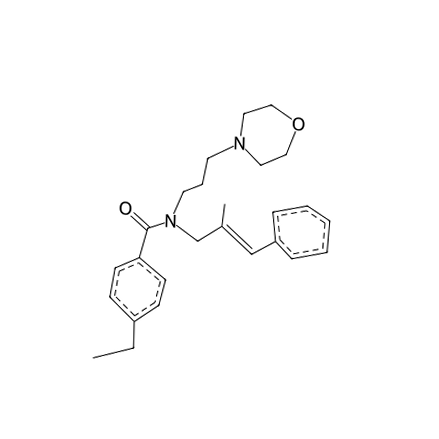 CCc1ccc(C(=O)N(CCCN2CCOCC2)C/C(C)=C/c2ccccc2)cc1